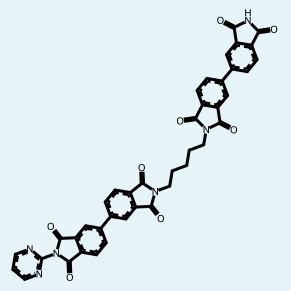 O=C1NC(=O)c2cc(-c3ccc4c(c3)C(=O)N(CCCCCN3C(=O)c5ccc(-c6ccc7c(c6)C(=O)N(c6ncccn6)C7=O)cc5C3=O)C4=O)ccc21